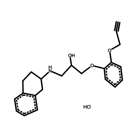 C#CCOc1ccccc1OCC(O)CNC1CCc2ccccc2C1.Cl